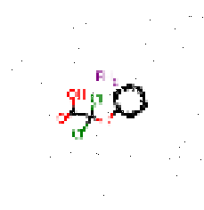 O=C(O)C(Cl)(Cl)Oc1ccccc1.P